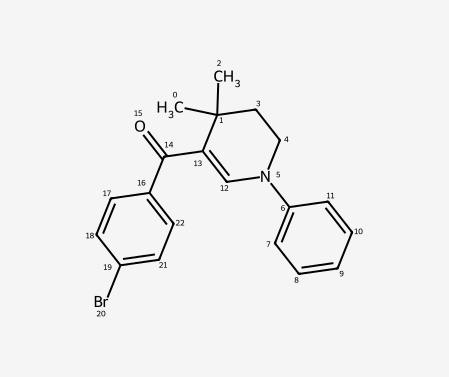 CC1(C)CCN(c2ccccc2)C=C1C(=O)c1ccc(Br)cc1